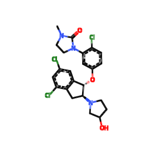 CN1CCN(c2cc(O[C@H]3c4cc(Cl)cc(Cl)c4C[C@@H]3N3CCC(O)C3)ccc2Cl)C1=O